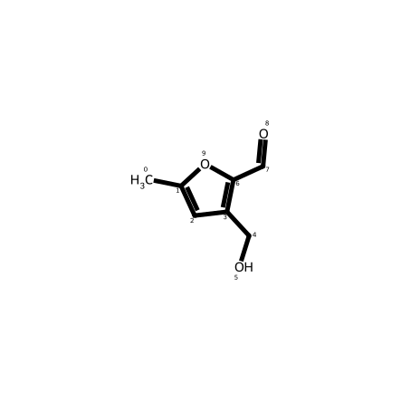 Cc1cc(CO)c(C=O)o1